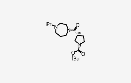 CC(C)N1CCCN(C(=O)[C@@H]2CCN(C(=O)OC(C)(C)C)C2)CC1